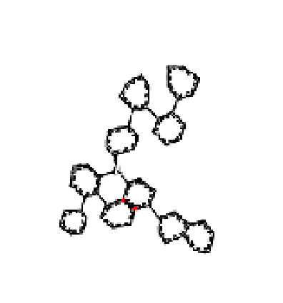 c1ccc(-c2ccccc2-c2ccccc2-c2ccc(N(c3ccc(-c4ccc5ccccc5c4)cc3)c3cccc(-c4ccccc4)c3-c3ccccc3)cc2)cc1